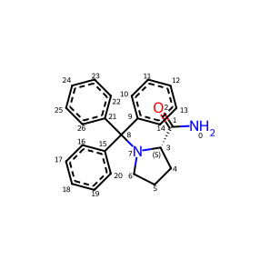 NC(=O)[C@@H]1CCCN1C(c1ccccc1)(c1ccccc1)c1ccccc1